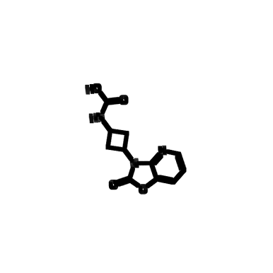 O=C(O)NC1CC(n2c(=O)oc3cccnc32)C1